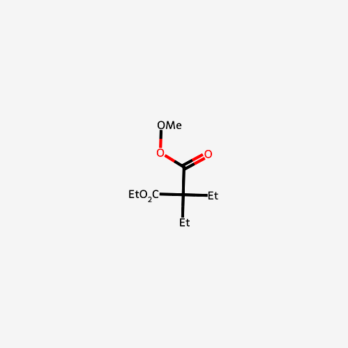 CCOC(=O)C(CC)(CC)C(=O)OOC